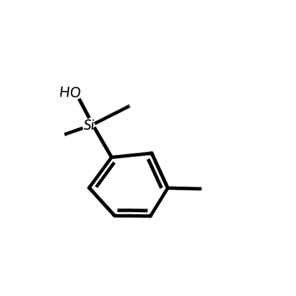 Cc1cccc([Si](C)(C)O)c1